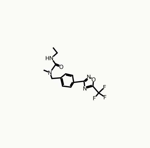 CCNC(=O)N(C)Cc1ccc(-c2noc(C(F)(F)F)n2)cc1